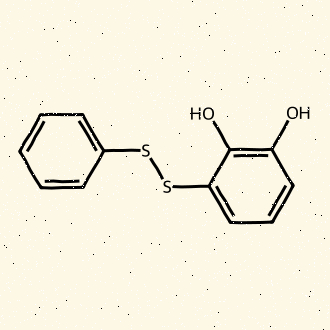 Oc1cccc(SSc2ccccc2)c1O